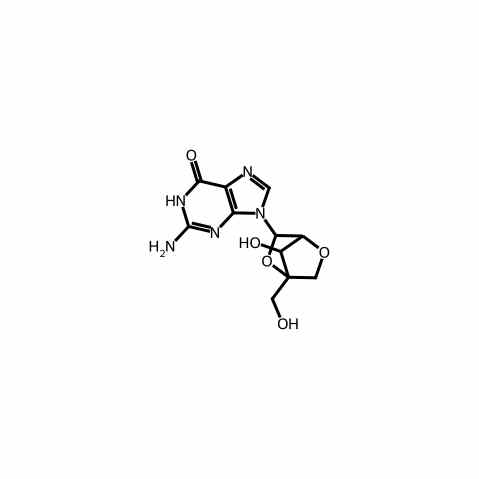 Nc1nc2c(ncn2C2OC3(CO)COC2C3O)c(=O)[nH]1